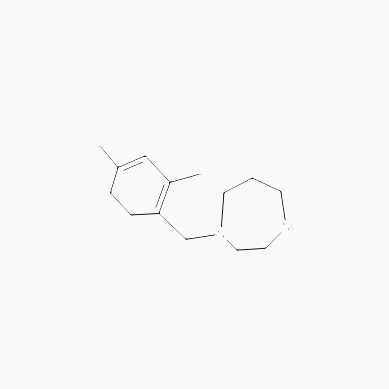 ClC1=CC(Cl)=C(CN2CCCNCC2)CC1